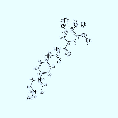 CCOc1cc(C(=O)NC(=S)Nc2ccc(N3CCN(C(C)=O)CC3)cc2)cc(OCC)c1OCC